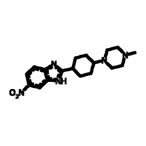 CN1CCN(C2CCC(c3nc4ccc([N+](=O)[O-])cc4[nH]3)CC2)CC1